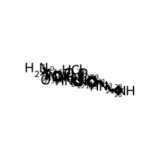 CC(C)(N)C(=O)N1CCN(C(=O)Nc2ccn(-c3ccc(CNCCC4CNC4)cc3)c(=O)n2)CC1.Cl